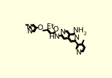 CC/C(=C\C(=O)Nc1cc2cc(-c3cnccc3C)nc(N)c2cn1)COc1cnn(C)c1